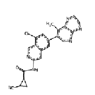 Cc1c(-c2cc(Cl)c3cnc(NC(=O)C4CC4C#N)cc3c2)cnc2nccnc12